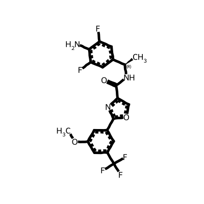 COc1cc(-c2nc(C(=O)N[C@H](C)c3cc(F)c(N)c(F)c3)co2)cc(C(F)(F)F)c1